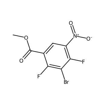 COC(=O)c1cc([N+](=O)[O-])c(F)c(Br)c1F